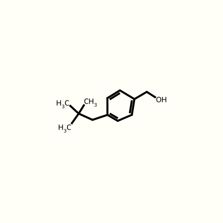 CC(C)(C)Cc1ccc(CO)cc1